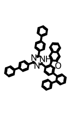 c1ccc(-c2ccc(C3=NC(c4ccc(-c5ccccc5-c5ccccc5)c5oc6cc7ccccc7cc6c45)NC(c4ccc(-c5ccccc5)cc4)=N3)cc2)cc1